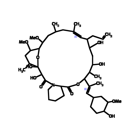 C=CCC1/C=C(/C)CC(C)CC(OC)C2OC(O)(C(C)CC2OC)C(O)C(=O)N2CCCCC2C(=O)OC(/C(C)=C/C2CCC(O)C(OC)C2)C(C)C(O)CC1O